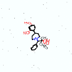 CC(O)(C=O)C(c1ccccc1)N1CCC(c2ccc(O)cc2O)CC1